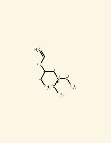 C=CSC(CC)C[SiH](OC)OC